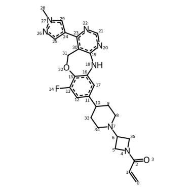 C=CC(=O)N1CC(N2CCC(c3cc(F)c4c(c3)Nc3ncnc(-c5cnn(C)c5)c3CO4)CC2)C1